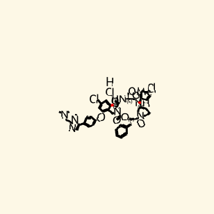 COC[C@@H]1NC(=O)[C@H](C)N(Cc2ccc(Cl)cc2Oc2ccc(-c3cnc(CN(C)C)n3C)cc2)C(=O)O[C@@H](Cc2ccccc2)C(=O)N2CCC[C@@](Cc3ccc(Cl)cc3)(C2)NC1=O.Cl